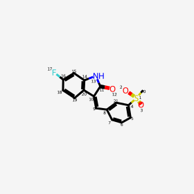 CS(=O)(=O)c1cccc(C=C2C(=O)Nc3cc(F)ccc32)c1